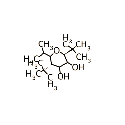 CC(C)C1O[C@@H](C(C)(C)C)C(O)C(O)[C@@H]1C(C)(C)C